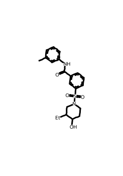 CCC1CN(S(=O)(=O)c2cccc(C(=O)Nc3cccc(C)c3)c2)CCC1O